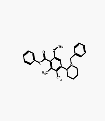 CCCCOc1cc(C2CCCCN2Cc2ccccc2)c(C(F)(F)F)c(C)c1C(=O)Oc1ccccc1